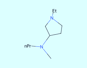 CCCN(C)C1CCN(CC)C1